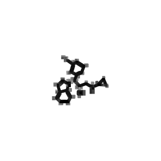 O[C@@H](CNC1CC1)[C@@H](c1cccc(F)c1)n1ccc2ccccc21